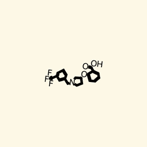 O=C(O)c1ccccc1OC1CCN(Cc2cccc(C(F)(F)F)c2)C1